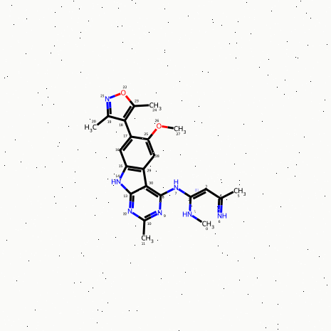 CN/C(=C\C(C)=N)Nc1nc(C)nc2[nH]c3cc(-c4c(C)noc4C)c(OC)cc3c12